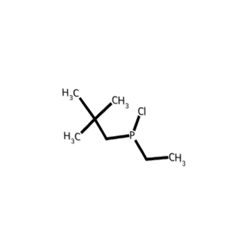 CCP(Cl)CC(C)(C)C